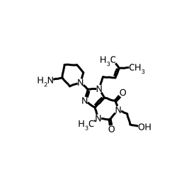 CC(C)=CCn1c(N2CCCC(N)C2)nc2c1c(=O)n(CCO)c(=O)n2C